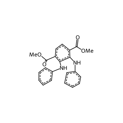 COC(=O)c1ccc(C(=O)OC)c(Nc2ccccc2)c1Nc1ccccc1